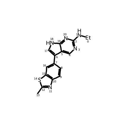 CCNc1ncc2c(-c3ccc4nc(C)sc4c3)c[nH]c2n1